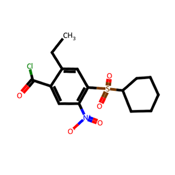 CCc1cc(S(=O)(=O)C2CCCCC2)c([N+](=O)[O-])cc1C(=O)Cl